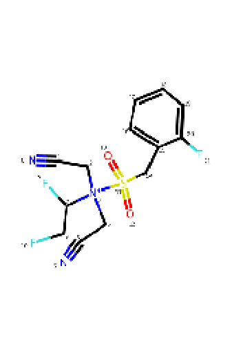 N#CC[N+](CC#N)(C(F)CF)S(=O)(=O)Cc1ccccc1F